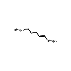 [CH2]CCCCCCCCCC=CCCCCCCC